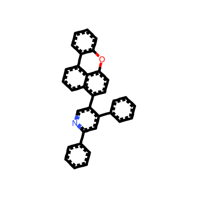 c1ccc(-c2cc(-c3ccccc3)c(-c3ccc4c5c(cccc35)-c3ccccc3O4)cn2)cc1